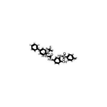 O=C(Nc1ccc(O)c(NS(=O)(=O)c2ccc(F)cc2)c1)NC1(SC(F)(F)F)C=CC(c2ccccc2)=CC1